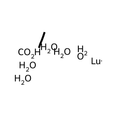 CC(=O)O.O.O.O.O.O.[Lu]